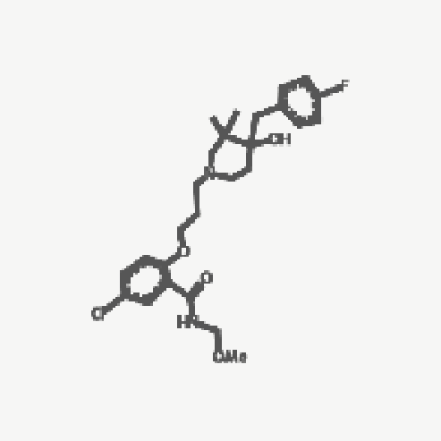 COCNC(=O)c1cc(Cl)ccc1OCCCN1CCC(O)(Cc2ccc(F)cc2)C(C)(C)C1